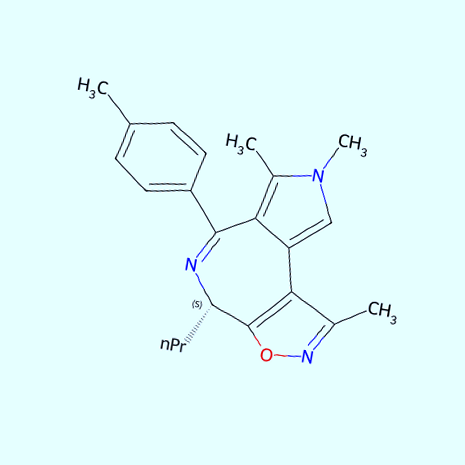 CCC[C@@H]1N=C(c2ccc(C)cc2)c2c(cn(C)c2C)-c2c(C)noc21